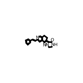 O=C1NCCn2nc3c(c21)CCc1cnc(C=Cc2ccccc2)cc1-3